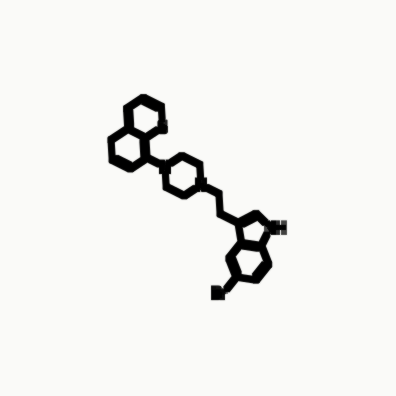 Brc1ccc2[nH]cc(CCN3CCN(C4=C5SC=CC=C5CC=C4)CC3)c2c1